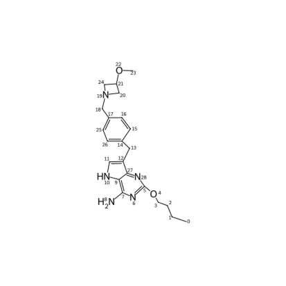 CCCCOc1nc(N)c2[nH]cc(Cc3ccc(CN4CC(OC)C4)cc3)c2n1